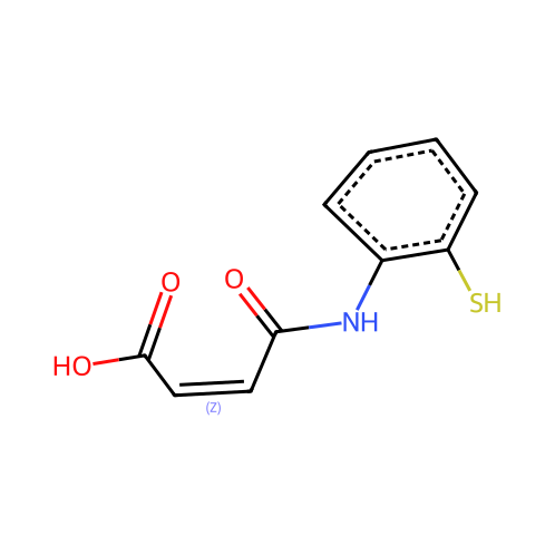 O=C(O)/C=C\C(=O)Nc1ccccc1S